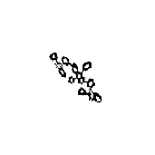 c1ccc(-c2c3ccc(-c4cccc(-n5c(-c6ccccc6)nc6ccccc65)c4)cc3c(-c3ccccc3)c3ccc(-c4cccc(-n5c(-c6ccccc6)nc6ccccc65)c4)cc23)cc1